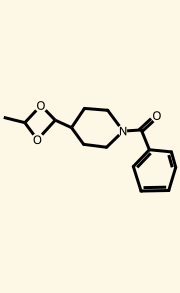 CC1OC(C2CCN(C(=O)c3ccccc3)CC2)O1